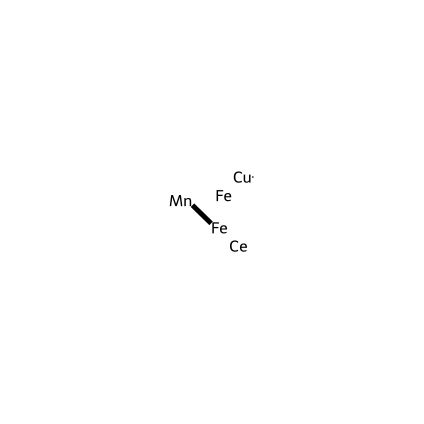 [Ce].[Cu].[Fe].[Mn][Fe]